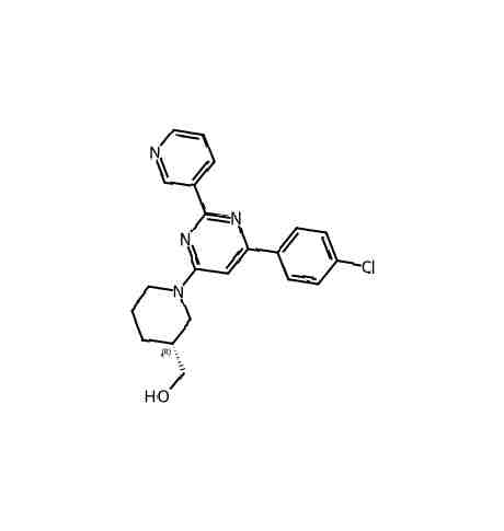 OC[C@@H]1CCCN(c2cc(-c3ccc(Cl)cc3)nc(-c3cccnc3)n2)C1